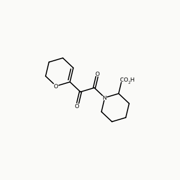 O=C(C(=O)N1CCCCC1C(=O)O)C1=CCCCO1